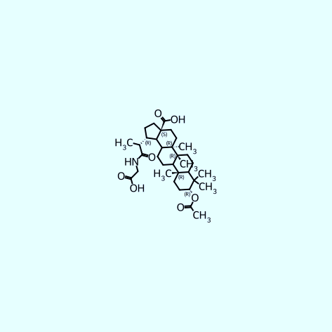 CC(=O)O[C@@H]1CC[C@@]2(C)C(CC[C@]3(C)C2CCC2C4[C@H](C(C)C(=O)NCC(=O)O)CC[C@]4(C(=O)O)CC[C@]23C)C1(C)C